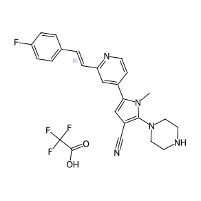 Cn1c(-c2ccnc(/C=C/c3ccc(F)cc3)c2)cc(C#N)c1N1CCNCC1.O=C(O)C(F)(F)F